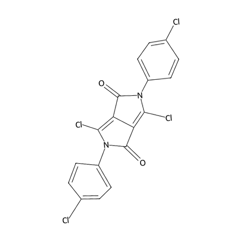 O=C1C2=C(Cl)N(c3ccc(Cl)cc3)C(=O)C2=C(Cl)N1c1ccc(Cl)cc1